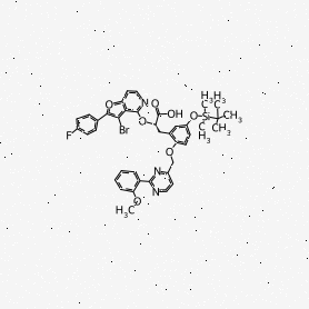 COc1ccccc1-c1nccc(COc2ccc(O[Si](C)(C)C(C)(C)C)cc2C[C@@H](Oc2nccc3oc(-c4ccc(F)cc4)c(Br)c23)C(=O)O)n1